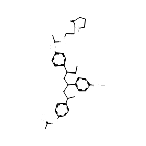 CCC(CC(CC(C)c1ccc(OC(C)=O)cc1)c1ccc(O)cc1)c1ccc(OC(C)OCCN2CCCC2=O)cc1